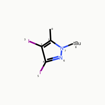 Cc1c(I)c(I)nn1C(C)(C)C